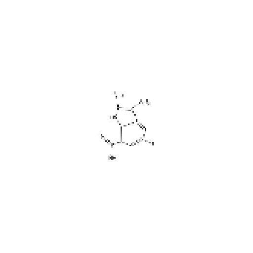 Cc1[nH]c2c(C(N)=O)cc(F)cc2c1C